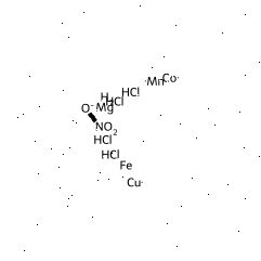 Cl.Cl.Cl.Cl.O=[N+]([O-])[O-].[Co].[Cu].[Fe].[MgH2].[Mn]